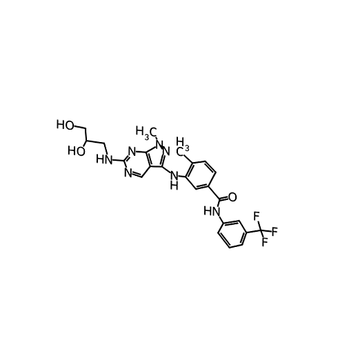 Cc1ccc(C(=O)Nc2cccc(C(F)(F)F)c2)cc1Nc1nn(C)c2nc(NCC(O)CO)ncc12